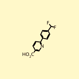 O=C(O)c1ccc(-c2ccc(C(F)F)cc2)nc1